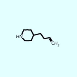 C=CCCC1CCNCC1